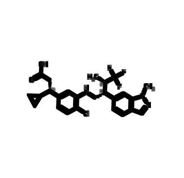 C[C@H]([C@@H](CNc1cc([C@@H](CC(=O)O)C2CC2)ccc1Cl)c1ccc2cnn(C)c2c1)C(F)(F)F